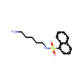 NCCCCCNS(=O)(=O)c1cccc2ccccc12